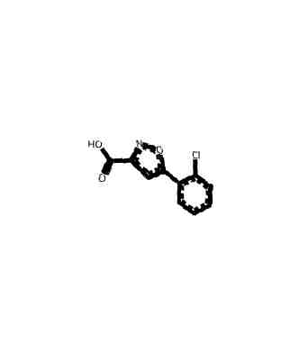 O=C(O)c1cc(-c2ccccc2Cl)on1